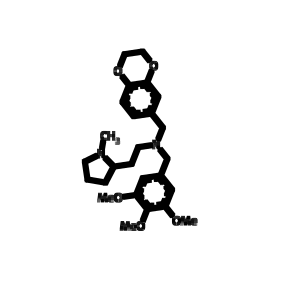 COc1cc(CN(CCC2CCCN2C)Cc2ccc3c(c2)OCCO3)cc(OC)c1OC